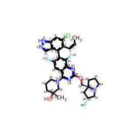 C/C=C\c1c(Cl)cc2[nH]ncc2c1-c1c(F)cc2c(N3CCC[C@@](C)(O)C3)nc(OC[C@@]34CCCN3C[C@H](F)C4)nc2c1F